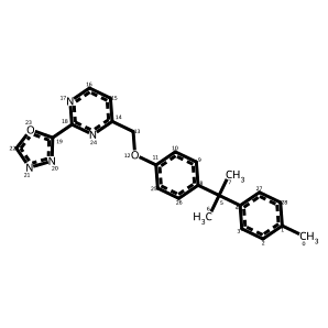 Cc1ccc(C(C)(C)c2ccc(OCc3ccnc(-c4nnco4)n3)cc2)cc1